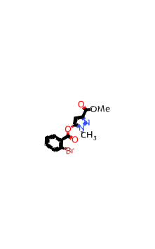 COC(=O)c1cc(OC(=O)c2ccccc2Br)n(C)n1